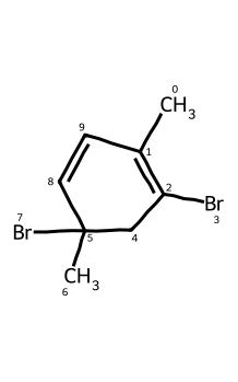 CC1=C(Br)CC(C)(Br)C=C1